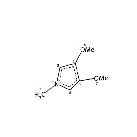 COc1cn(C)cc1OC